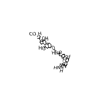 CC(=Cc1cc(F)c(Oc2ccc(CC(=O)NCCOC3CCC4(C)C(C3)CC(O)C3C4CC(O)C4(C)C(C(C)CCC(=O)O)CCC34)cc2)c(F)c1)C(=O)NC(=N)N